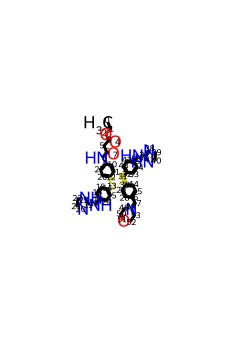 CCOC(=O)CC(=O)Nc1ccc(Sc2ccc(NC3=NCCN3)cc2)cc1.c1cc(Sc2ccc(NC3=NCCN3)cc2)ccc1CN1CCOCC1